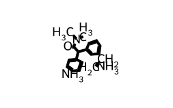 C=C.CN(C)C(=O)C(c1ccccc1)c1ccccc1.N.N